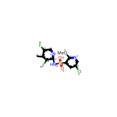 COc1ncc(Cl)cc1S(=O)(=O)Nc1ncc(F)c(C)c1F